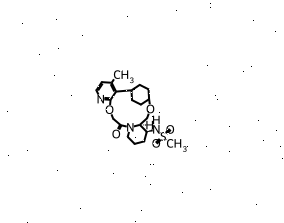 Cc1ccnc2c1C1CCC(CC1)OC[C@H]1[C@@H](NS(C)(=O)=O)CCCN1C(=O)CO2